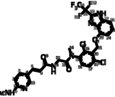 CC(=O)Nc1ccc(C=CC(=O)NCC(=O)N(C)c2ccc(Cl)c(COc3cccc4[nH]c(C(F)(F)C(F)(F)F)nc34)c2Cl)cn1